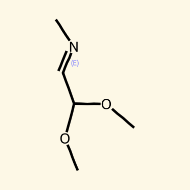 C/N=C/C(OC)OC